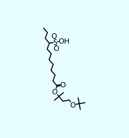 CCCC(CCCCCCCC(=O)OC(C)(C)CCOC(C)(C)C)S(=O)(=O)O